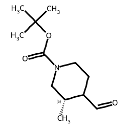 C[C@@H]1CN(C(=O)OC(C)(C)C)CCC1C=O